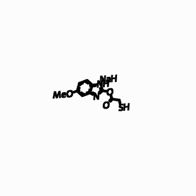 COc1ccc2[nH]c(OC(=O)CS)nc2c1.[NaH]